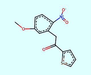 COc1ccc([N+](=O)[O-])c(CC(=O)c2cccs2)c1